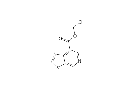 CCOC(=O)c1cncc2s[c]nc12